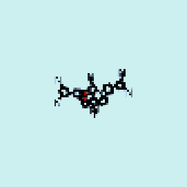 N#Cc1cc(C#N)cc(-c2ccc3c(c2)c2ccccc2n3-c2cc(C#N)cc(-n3c4ccccc4c4cc(-c5cc(C#N)cc(C#N)c5)ccc43)c2-c2ccc(C(F)(F)F)cc2C(F)(F)F)c1